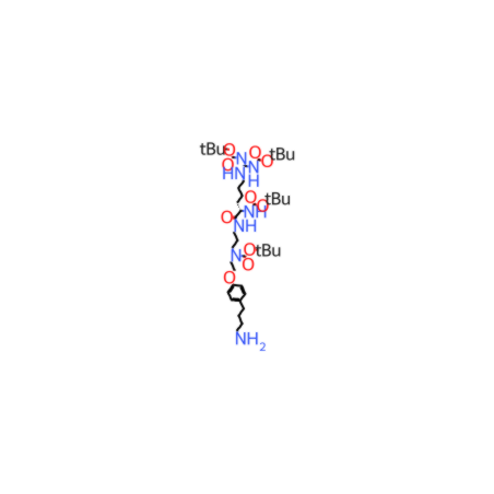 CC(C)(C)OC(=O)/N=C(\NCCCC[C@H](NC(=O)OC(C)(C)C)C(=O)NCCCN(CCOc1ccc(CCCCN)cc1)C(=O)OC(C)(C)C)NC(=O)OC(C)(C)C